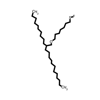 CCCCCCCCCCCCC(CCCCCCCCCC)COCCCCCCCSF